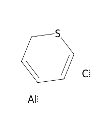 C1=CCSC=C1.[Al].[C]